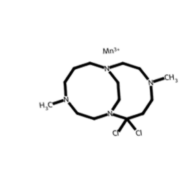 CN1CCCN2CCN(C)CCC(Cl)(Cl)N(CC1)CC2.[Mn+3]